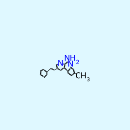 Cc1ccc2c(c1)nc(N)c1ncc(C=Cc3ccccc3)cc12